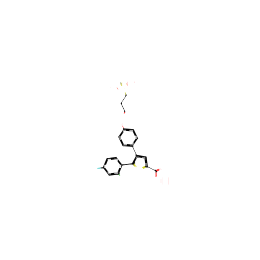 CS(=O)(=O)CCCOc1ccc(-c2cc(C(=O)O)sc2-c2ccc(F)cc2Cl)cc1